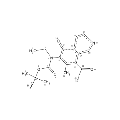 CCN(C(=O)OC(C)(C)C)n1c(C)c(C(=O)O)c2cnccc2c1=O